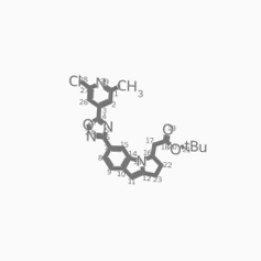 Cc1cc(-c2nc(-c3ccc4cc5n(c4c3)C(CC(=O)OC(C)(C)C)CC5)no2)cc(Cl)n1